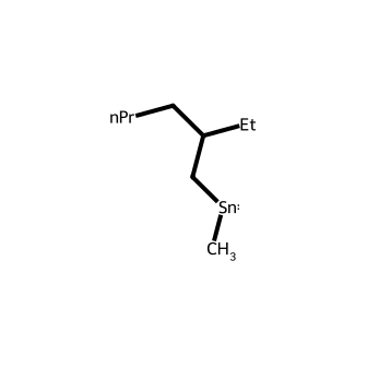 CCCCC(CC)[CH2][Sn][CH3]